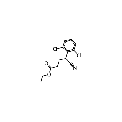 CCOC(=O)CCC(C#N)c1c(Cl)cccc1Cl